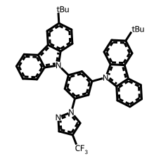 CC(C)(C)c1ccc2c(c1)c1ccccc1n2-c1cc(-n2cc(C(F)(F)F)cn2)cc(-n2c3ccccc3c3cc(C(C)(C)C)ccc32)c1